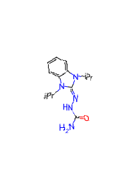 CC(C)n1c(=NNC(N)=O)n(C(C)C)c2ccccc21